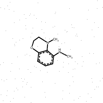 CNc1cccc2c1N(C)CCO2